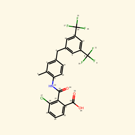 Cc1cc(Cc2cc(C(F)(F)F)cc(C(F)(F)F)c2)ccc1NC(=O)c1c(Cl)cccc1C(=O)O